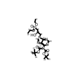 CCOP(=O)(C[C@H](O)Cn1cnc2c(N(C(=O)OC(C)(C)C)C(=O)OC(C)(C)C)ncnc21)OCC